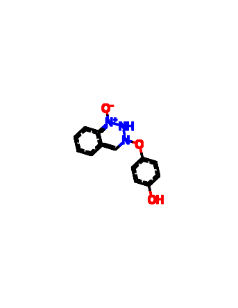 [O-][N+]1=c2ccccc2=CN(Oc2ccc(O)cc2)N1